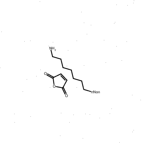 CCCCCCCCCCCCCCCCN.O=C1C=CC(=O)O1